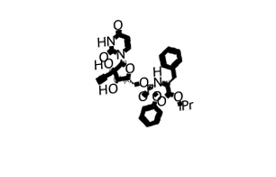 C#C[C@@]1(O)[C@H](O)[C@@H](COP(=O)(N[C@@H](Cc2ccccc2)C(=O)OC(C)C)Oc2ccccc2)O[C@H]1n1ccc(=O)[nH]c1=O